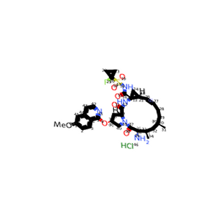 COc1ccc2c(O[C@@H]3C[C@H]4C(=O)N[C@]5(C(=O)NS(=O)(=O)C6(F)CC6)C[C@H]5/C=C\CC[C@@H](C)C[C@@H](C)[C@H](N)C(=O)N4C3)nccc2c1.Cl